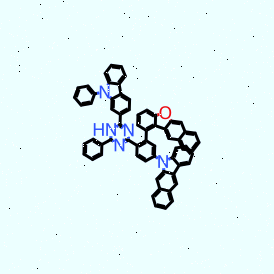 c1ccc(C2N=C(c3ccc(-n4c5ccccc5c5cc6ccccc6cc54)cc3-c3cccc4oc5cc6ccccc6cc5c34)N=C(c3ccc4c5ccccc5n(-c5ccccc5)c4c3)N2)cc1